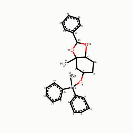 CC12CC(O[Si](c3ccccc3)(c3ccccc3)C(C)(C)C)CCC1OC(c1ccccc1)O2